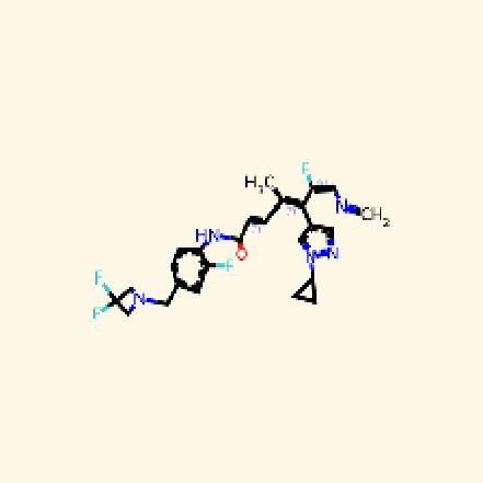 C=N\C=C(F)/C(=C(C)/C=C/C(=O)Nc1ccc(CN2CC(F)(F)C2)cc1F)c1cnn(C2CC2)c1